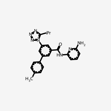 Cc1ccc(-c2cc(C(=O)Nc3cccc(N)n3)cc(-n3nnnc3C(C)C)c2)cc1